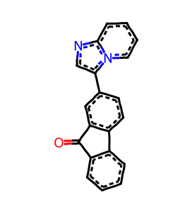 O=C1c2ccccc2-c2ccc(-c3cnc4ccccn34)cc21